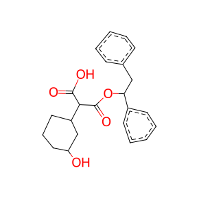 O=C(O)C(C(=O)OC(Cc1ccccc1)c1ccccc1)C1CCCC(O)C1